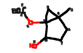 CCOC(=O)OC12CC1(C)CCC2O